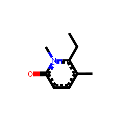 CCc1c(C)ccc(=O)n1C